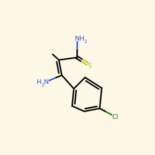 CC(C(N)=S)=C(N)c1ccc(Cl)cc1